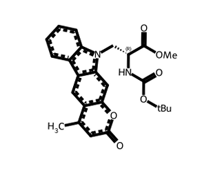 COC(=O)[C@@H](Cn1c2ccccc2c2cc3c(C)cc(=O)oc3cc21)NC(=O)OC(C)(C)C